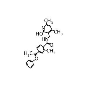 Cc1cc(C)c(CNC(=O)c2ccc([C@H](C)Oc3ccccc3)cc2C)c(O)n1